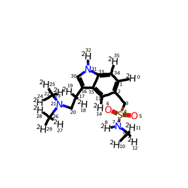 [2H]c1c(CS(=O)(=O)N([2H])C([2H])([2H])[2H])c([2H])c2c(C([2H])([2H])CN(C([2H])([2H])[2H])C([2H])([2H])[2H])cn([2H])c2c1[2H]